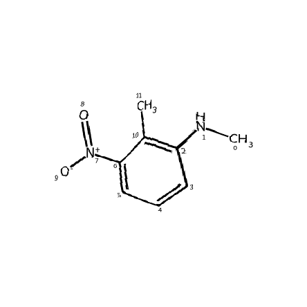 CNc1cccc([N+](=O)[O-])c1C